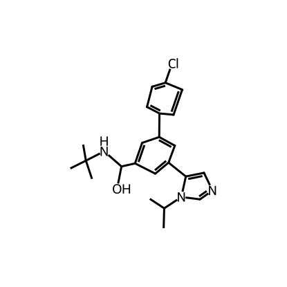 CC(C)n1cncc1-c1cc(-c2ccc(Cl)cc2)cc(C(O)NC(C)(C)C)c1